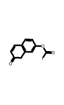 O=C1C=Cc2ccc(OC(=O)I)cc2C1